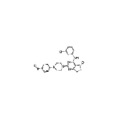 O=Nc1ccc(N2CCN(c3nc4c(c(Nc5cccc(Cl)c5)n3)[S+]([O-])CC4)CC2)cc1